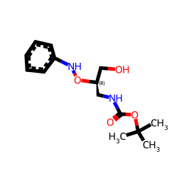 CC(C)(C)OC(=O)NC[C@H](CO)ONc1ccccc1